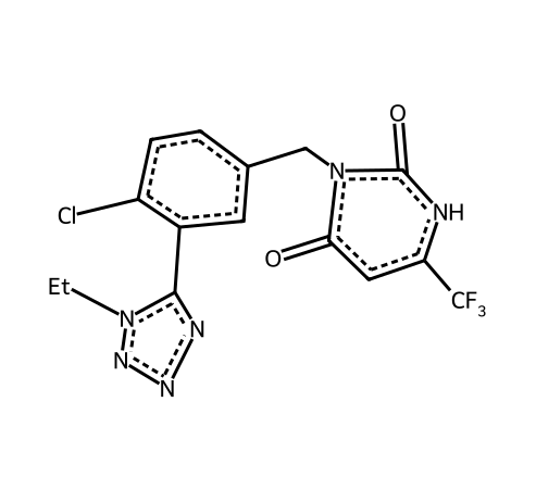 CCn1nnnc1-c1cc(Cn2c(=O)cc(C(F)(F)F)[nH]c2=O)ccc1Cl